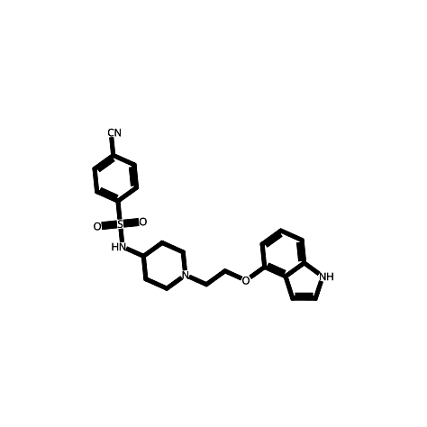 N#Cc1ccc(S(=O)(=O)NC2CCN(CCOc3cccc4[nH]ccc34)CC2)cc1